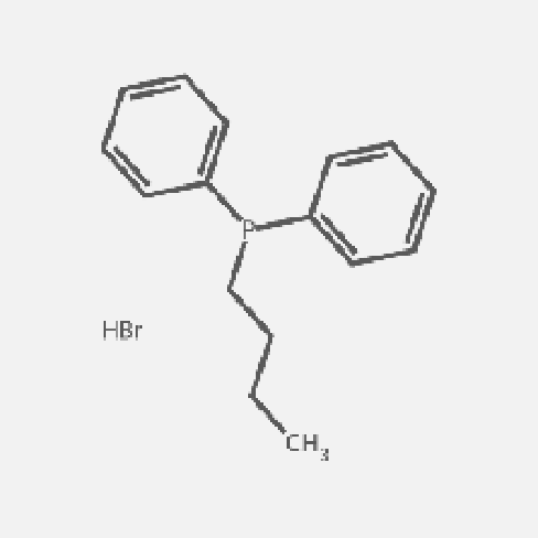 Br.CCCCP(c1ccccc1)c1ccccc1